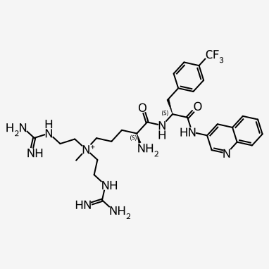 C[N+](CCC[C@H](N)C(=O)N[C@@H](Cc1ccc(C(F)(F)F)cc1)C(=O)Nc1cnc2ccccc2c1)(CCNC(=N)N)CCNC(=N)N